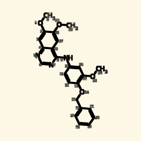 COc1cc2ncnc(Nc3ccc(OCc4ccccc4)c(OC)c3)c2cc1OC